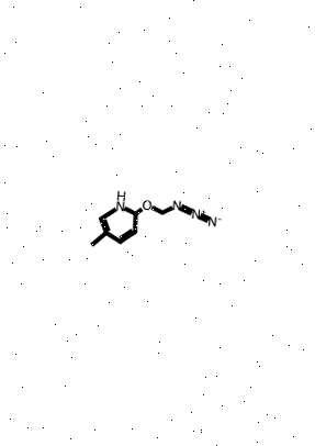 CC1=CNC(OCN=[N+]=[N-])C=C1